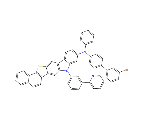 Brc1cccc(-c2ccc(N(c3ccccc3)c3ccc4c5cc6sc7c8ccccc8ccc7c6cc5n(-c5cccc(-c6ccccn6)c5)c4c3)cc2)c1